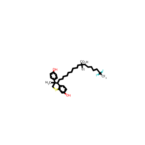 CCC(CCCCCCCCCC1c2ccc(O)cc2SCC1(C)c1ccc(O)cc1)(CCCCCC(F)(F)C(F)(F)F)C(=O)O